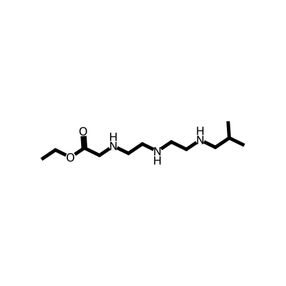 CCOC(=O)CNCCNCCNCC(C)C